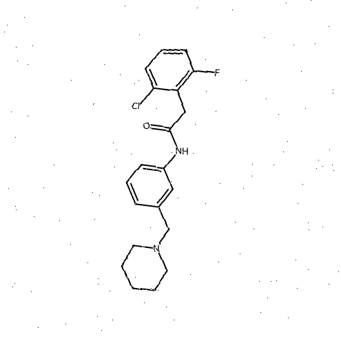 O=C(Cc1c(F)cccc1Cl)Nc1cccc(CN2CCCCC2)c1